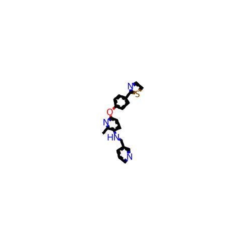 Cc1nc(Oc2ccc(-c3nccs3)cc2)ccc1NCc1cccnc1